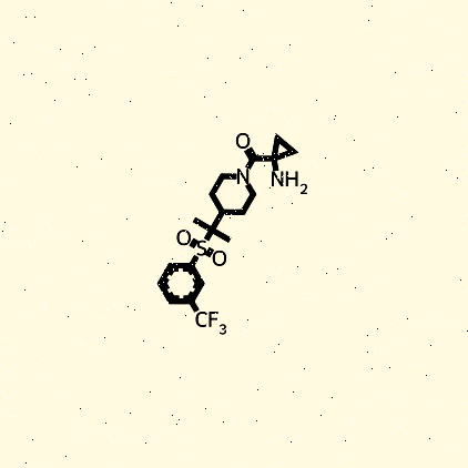 CC(C)(C1CCN(C(=O)C2(N)CC2)CC1)S(=O)(=O)c1cccc(C(F)(F)F)c1